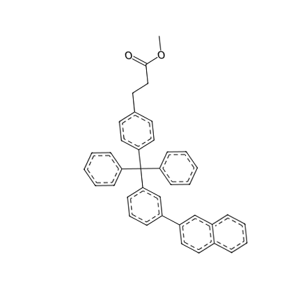 COC(=O)CCc1ccc(C(c2ccccc2)(c2ccccc2)c2cccc(-c3ccc4ccccc4c3)c2)cc1